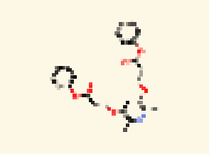 CC1=C(OCCC(=O)Oc2ccccc2)CC(OCCC(=O)Oc2ccccc2)=C(C)N1